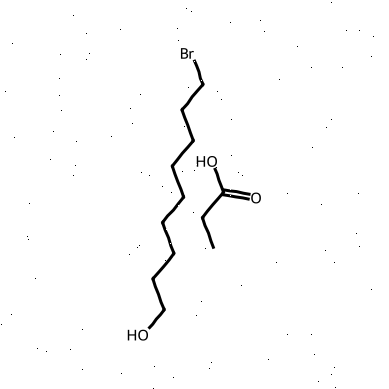 CCC(=O)O.OCCCCCCCCCBr